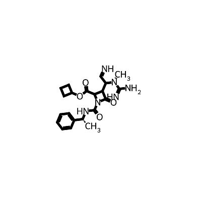 C[C@@H](NC(=O)N1C(=O)C(C(C=N)N(C)C(=N)N)C1C(=O)OC1CCC1)c1ccccc1